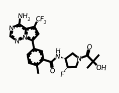 Cc1ccc(-c2cc(C(F)(F)F)c3c(N)ncnn23)cc1C(=O)N[C@@H]1CN(C(=O)C(C)(C)O)C[C@@H]1F